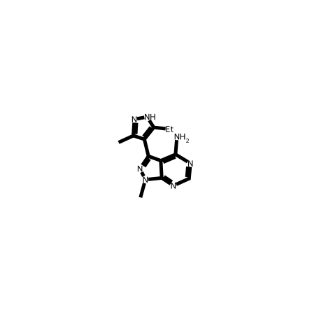 CCc1[nH]nc(C)c1-c1nn(C)c2ncnc(N)c12